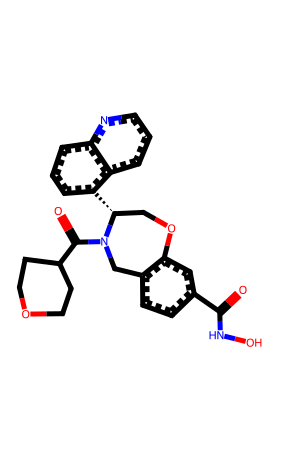 O=C(NO)c1ccc2c(c1)OC[C@@H](c1cccc3ncccc13)N(C(=O)C1CCOCC1)C2